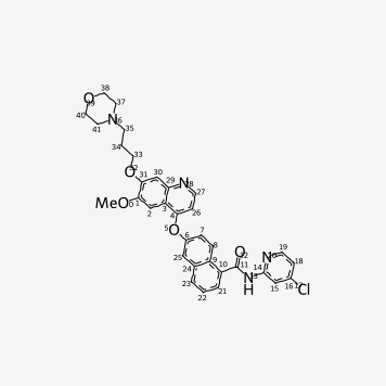 COc1cc2c(Oc3ccc4c(C(=O)Nc5cc(Cl)ccn5)cccc4c3)ccnc2cc1OCCCN1CCOCC1